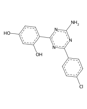 Nc1nc(-c2ccc(Cl)cc2)nc(-c2ccc(O)cc2O)n1